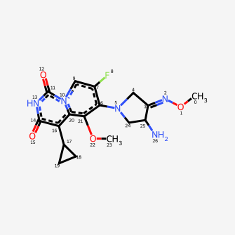 CON=C1CN(c2c(F)cn3c(=O)[nH]c(=O)c(C4CC4)c3c2OC)CC1N